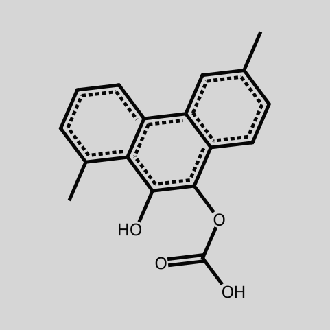 Cc1ccc2c(OC(=O)O)c(O)c3c(C)cccc3c2c1